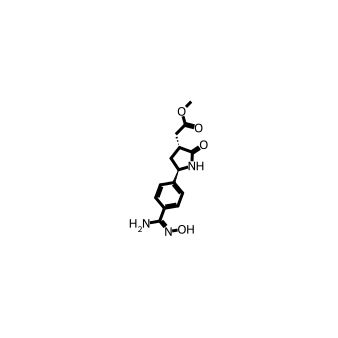 COC(=O)C[C@H]1C[C@H](c2ccc(/C(N)=N\O)cc2)NC1=O